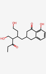 CCC(=O)C(CO)C(CCO)CC1CC(=O)c2c(O)cccc2C1